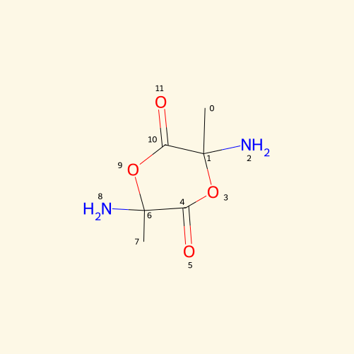 CC1(N)OC(=O)C(C)(N)OC1=O